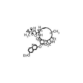 CCOc1ccc2ncc(O[C@@H]3C[C@H]4C(=O)N[C@]5(C(=O)NS(=O)(=O)C6(C)CC6)C[C@H]5C=CCC[C@@H](C)C[C@@H](CC)[C@H](NC(=O)O)C(=O)N4C3)cc2c1